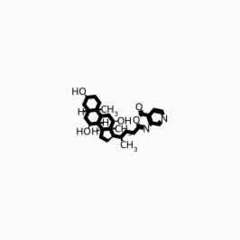 C[C@H](CCc1nc2cnccc2c(=O)o1)[C@H]1CC[C@H]2[C@H]3C(C[C@H](O)[C@]12C)[C@@]1(C)CC[C@@H](O)C[C@H]1C[C@H]3O